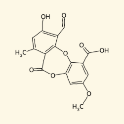 COc1cc2c(c(C(=O)O)c1)Oc1c(C=O)c(O)cc(C)c1C(=O)O2